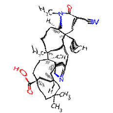 C#C[C@]12C=C(C#N)C(=O)N(C)[C@@H]1CC[C@]1(C)C2=CC2=N[C@]23[C@@H]2CC(C)(C)CC[C@]2(C(=O)O)CC[C@@]13C